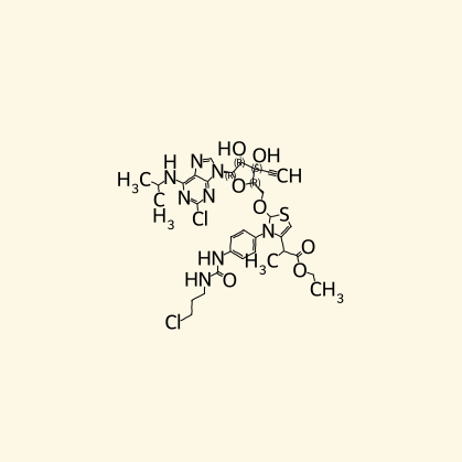 C#C[C@@]1(O)[C@@H](COC2SC=C(C(C)C(=O)OCC)N2c2ccc(NC(=O)NCCCCl)cc2)O[C@@H](n2cnc3c(NC(C)C)nc(Cl)nc32)[C@@H]1O